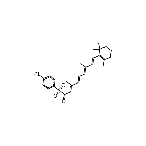 CC1=C(/C=C/C(C)=C/C=C/C(C)=C/C(=O)S(=O)(=O)c2ccc(Cl)cc2)C(C)(C)CCC1